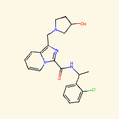 CC(NC(=O)c1nc(CN2CCC(O)C2)c2ccccn12)c1ccccc1Cl